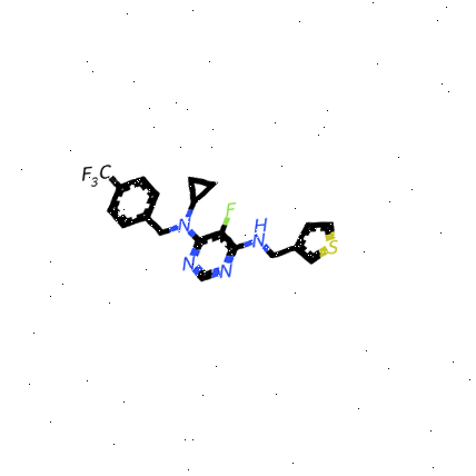 Fc1c(NCc2ccsc2)ncnc1N(Cc1ccc(C(F)(F)F)cc1)C1CC1